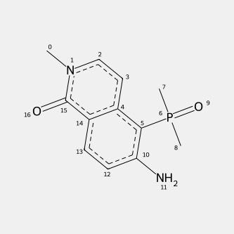 Cn1ccc2c(P(C)(C)=O)c(N)ccc2c1=O